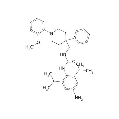 COc1ccccc1N1CCC(CNC(=O)Nc2c(C(C)C)cc(N)cc2C(C)C)(c2ccccc2)CC1